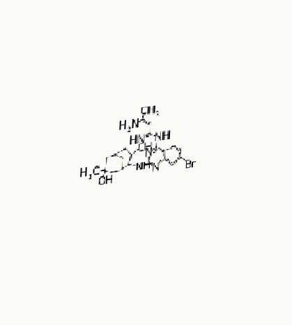 C/C(N)=C/C(=N)Nc1nc(NC2C(C)CC3CC2CC(C)(O)C3)nc2cc(Br)ccc12